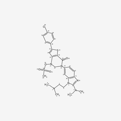 CN(C)CCn1c(N(C)C)nc2ccc(N3CN(OS(C)(=O)=O)c4cc(-c5ccc(Cl)cc5)sc4C3=O)cc21